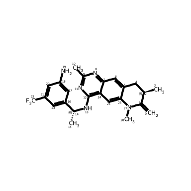 C=C1[C@H](C)Cc2cc3nc(C)nc(N[C@H](C)c4cc(N)cc(C(F)(F)F)c4)c3cc2N1C